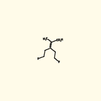 CC(C(=O)O)=C(CCF)CCF